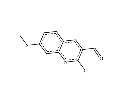 CSc1ccc2cc(C=O)c(Cl)nc2c1